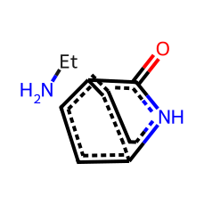 CCN.O=c1[nH]c2ccc1cc2